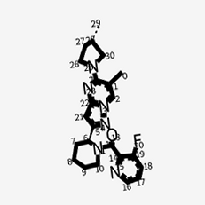 Cc1cn2nc([C@@H]3CCCCN3C(=O)c3ncccc3F)cc2nc1N1CC[C@H](C)C1